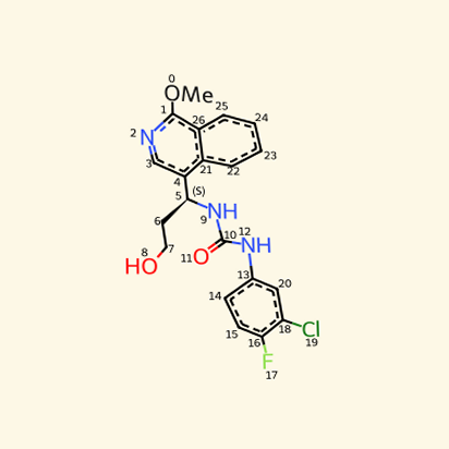 COc1ncc([C@H](CCO)NC(=O)Nc2ccc(F)c(Cl)c2)c2ccccc12